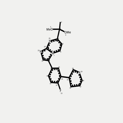 COC(C)(OC)c1ccn2c(-c3ccc(F)c(-c4cccnc4)c3)cnc2n1